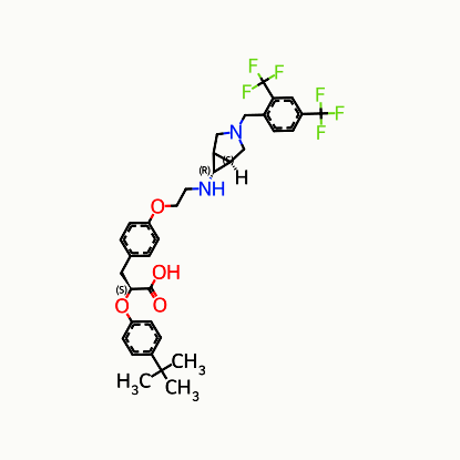 CC(C)(C)c1ccc(O[C@@H](Cc2ccc(OCCN[C@@H]3C4CN(Cc5ccc(C(F)(F)F)cc5C(F)(F)F)C[C@H]43)cc2)C(=O)O)cc1